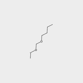 C[CH]OCOCCCC